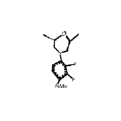 CNc1ccc(N2CC(C)O[C@H](C)C2)c(F)c1F